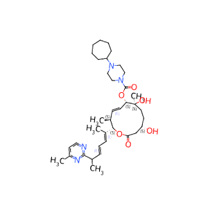 C/C(=C\C=C\C(C)c1nccc(C)n1)[C@H]1OC(=O)C[C@@H](O)CC[C@](C)(O)[C@@H](OC(=O)N2CCN(C3CCCCCC3)CC2)/C=C/[C@@H]1C